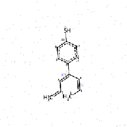 C=C/C=C(\C=C/C)c1ccc(S)cn1